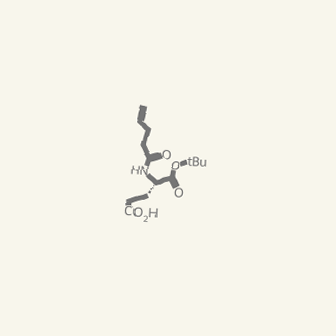 C=CCCC(=O)N[C@@H](CCC(=O)O)C(=O)OC(C)(C)C